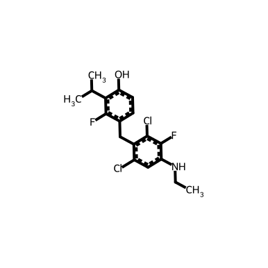 CCNc1cc(Cl)c(Cc2ccc(O)c(C(C)C)c2F)c(Cl)c1F